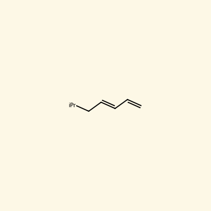 C=C/C=C/CC(C)C